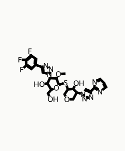 COC1C(SC2COCC(n3cc(-c4ncccn4)nn3)C2O)OC(CO)C(O)C1n1cc(-c2cc(F)c(F)c(F)c2)nn1